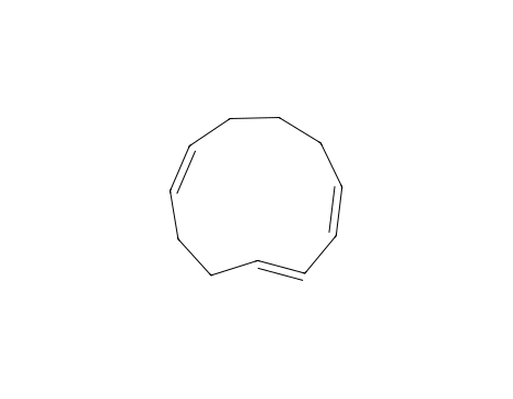 C1=C\CCC/C=C\CC/C=C/1